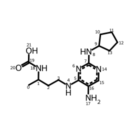 CC(CCNc1nc(NC2CCCC2)ncc1N)NC(=O)O